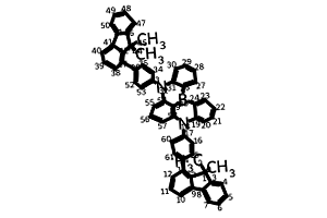 CC1(C)c2ccccc2-c2cccc(-c3ccc(N4c5ccccc5B5c6ccccc6N(c6ccc(-c7cccc8c7C(C)(C)c7ccccc7-8)cc6)c6cccc4c65)cc3)c21